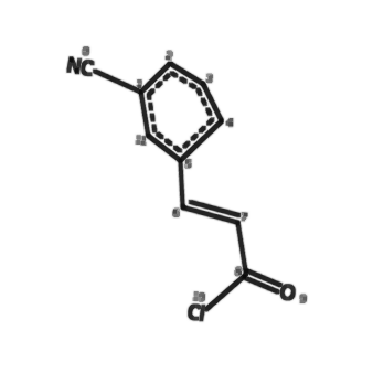 N#Cc1cccc(/C=C/C(=O)Cl)c1